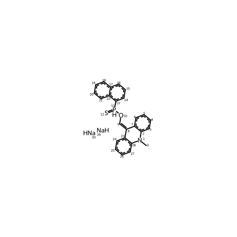 CN1c2ccccc2C(=CO[PH](=S)c2cccc3ccccc23)c2ccccc21.[NaH].[NaH]